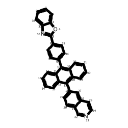 c1ccc2oc(-c3ccc(-c4c5ccccc5c(-c5ccc6cnccc6c5)c5ccccc45)cc3)nc2c1